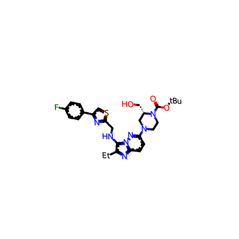 CCc1nc2ccc(N3CCN(C(=O)OC(C)(C)C)[C@@H](CO)C3)nn2c1NCc1nc(-c2ccc(F)cc2)cs1